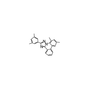 Cc1cc(C)cc(-c2nc3c4ccccc4c4cc(C)cc(C)c4n3n2)c1